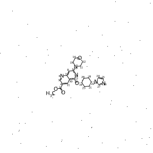 COC(=O)c1cnc2cc(N3CCOCC3)nc(O[C@H]3CC[C@@H](n4ccnc4)CC3)c2c1